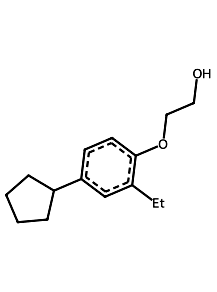 CCc1cc(C2CCCC2)ccc1OCCO